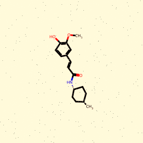 COc1cc(C=CC(=O)N[C@H]2CC[C@H](C)CC2)ccc1O